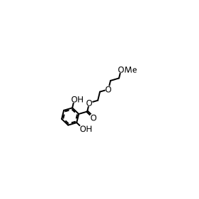 COCCOCCOC(=O)c1c(O)cccc1O